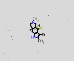 CCc1c(C)[nH]c2c1C(=S)[C@@H]1CN(C)CC[C@H]1C2